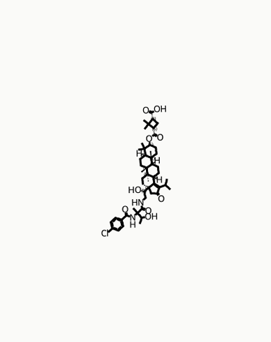 CC(C)C1=C2[C@H]3CC[C@@H]4[C@@]5(C)CC[C@H](OC(=O)[C@H]6C[C@@H](C(=O)O)C6(C)C)C(C)(C)[C@@H]5CC[C@@]4(C)[C@]3(C)CC[C@@]2([C@@H](O)CNC(=O)C(C)(NC(=O)c2ccc(Cl)cc2)C(C)O)CC1=O